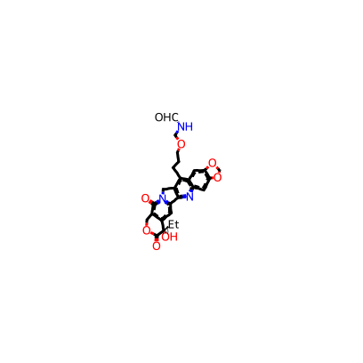 CC[C@@]1(O)C(=O)OCc2c1cc1n(c2=O)Cc2c-1nc1cc3c(cc1c2CCCOCNC=O)OCO3